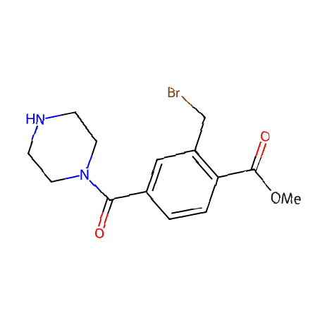 COC(=O)c1ccc(C(=O)N2CCNCC2)cc1CBr